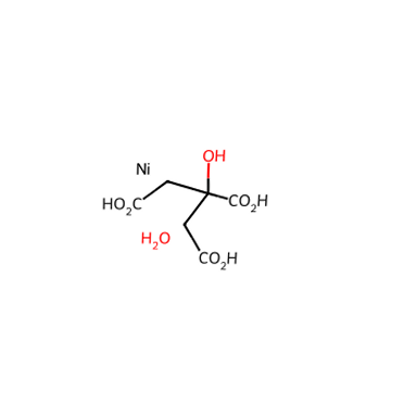 O.O=C(O)CC(O)(CC(=O)O)C(=O)O.[Ni]